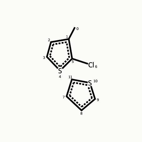 Cc1ccsc1Cl.c1ccsc1